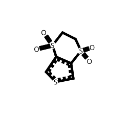 O=S1(=O)CCS(=O)(=O)c2cscc21